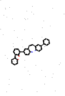 C1=Cc2cc(-c3cccc4c3oc3ccccc34)ccc2Nc2ccc(-c3ccccc3)cc21